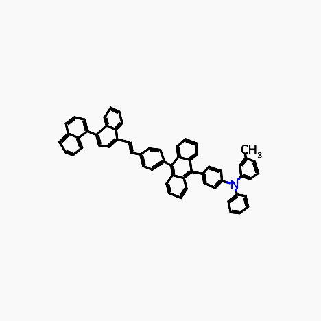 Cc1cccc(N(c2ccccc2)c2ccc(-c3c4ccccc4c(-c4ccc(/C=C/c5ccc(-c6cccc7ccccc67)c6ccccc56)cc4)c4ccccc34)cc2)c1